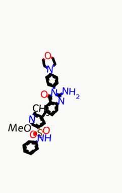 COc1nc(C)c(-c2ccc3nc(N)n(-c4ccc(N5CCOCC5)cc4)c(=O)c3c2)cc1S(=O)(=O)Nc1ccccc1